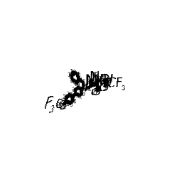 O=C(OC(=O)C(F)(F)F)c1[nH]nnc1CN(Cc1ccccc1)c1ccc(-c2ccc(OC(F)(F)F)cc2)cc1